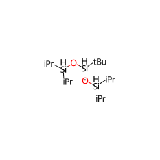 CC(C)[SiH](O[SiH](O[SiH](C(C)C)C(C)C)C(C)(C)C)C(C)C